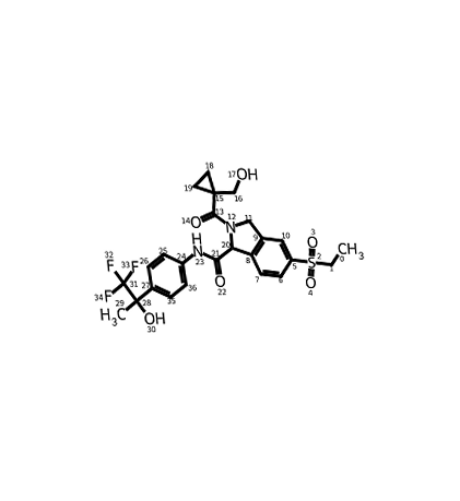 CCS(=O)(=O)c1ccc2c(c1)CN(C(=O)C1(CO)CC1)C2C(=O)Nc1ccc(C(C)(O)C(F)(F)F)cc1